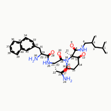 CC(C)CC(C)CNC(=O)[C@@]1(C)C(=O)CCC(=O)N1C(=O)[C@H](CC(N)=O)NC(=O)[C@@H](N)Cc1ccc2ccccc2c1